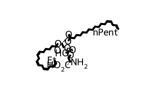 CC/C=C\C/C=C\C/C=C\C/C=C\CCCCC(=O)O[C@H](COC(=O)CCCCCCCCCCC/C=C\C/C=C\CCCCC)COP(=O)(O)OC[C@H](N)C(=O)O